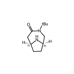 CC(C)(C)N1C[C@H]2CC[C@@H](CC1=O)N2